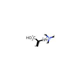 C=C(CCC)C(=O)O.CN(C)C